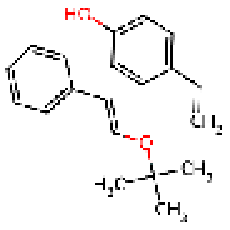 C=Cc1ccc(O)cc1.CC(C)(C)OC=Cc1ccccc1